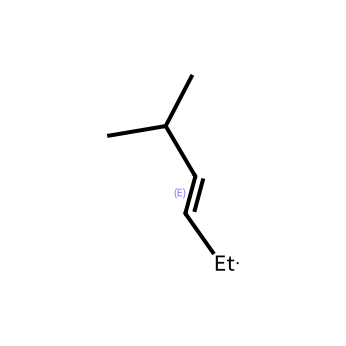 C[CH]/C=C/C(C)C